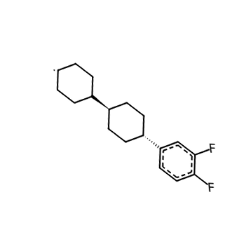 Fc1ccc([C@H]2CC[C@H](C3CC[CH]CC3)CC2)cc1F